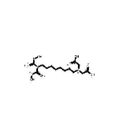 C=C(OO)N(CCCCCCCCN(CC(=O)O)CC(=O)O)C(=C)OO